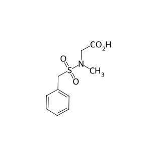 CN(CC(=O)O)S(=O)(=O)Cc1ccccc1